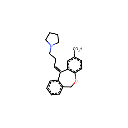 O=C(O)c1ccc2c(c1)/C(=C\CCN1CCCC1)c1ccccc1CO2